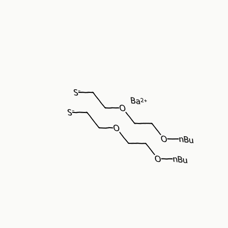 CCCCOCCOCC[S-].CCCCOCCOCC[S-].[Ba+2]